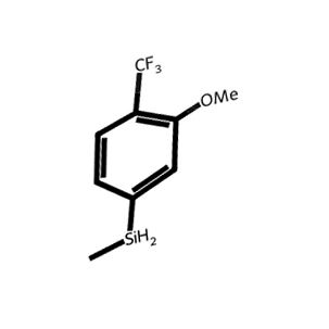 COc1cc([SiH2]C)ccc1C(F)(F)F